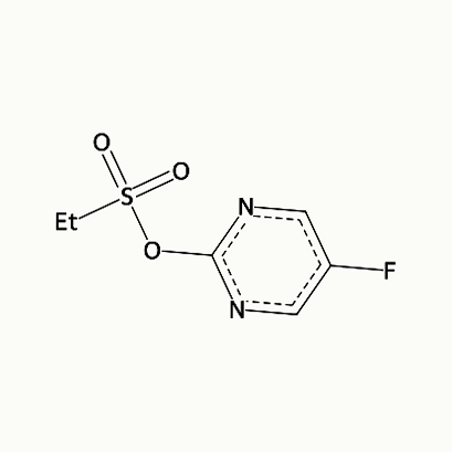 CCS(=O)(=O)Oc1ncc(F)cn1